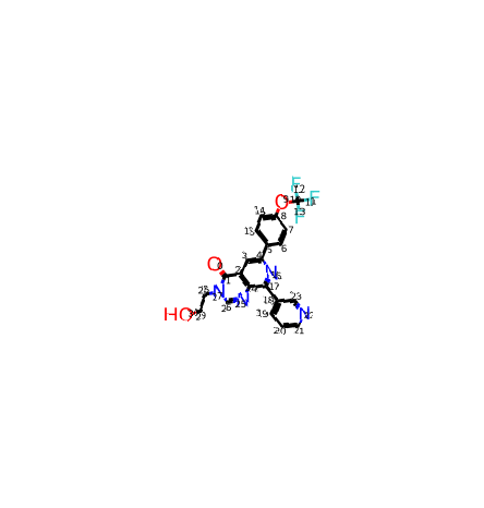 O=c1c2cc(-c3ccc(OC(F)(F)F)cc3)nc(-c3cccnc3)c2ncn1CCO